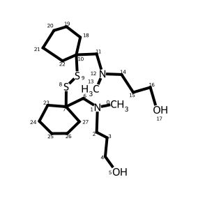 CN(CCCO)CC1(SSC2(CN(C)CCCO)CCCCC2)CCCCC1